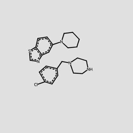 Clc1ccc(CN2CCNCC2)cc1.c1nc2cc(N3CCCCC3)ccc2s1